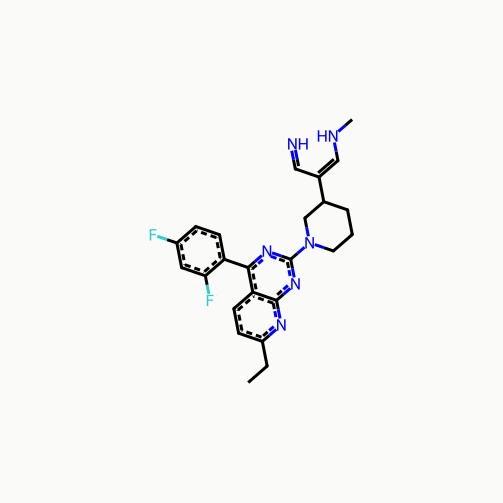 CCc1ccc2c(-c3ccc(F)cc3F)nc(N3CCCC(/C(C=N)=C/NC)C3)nc2n1